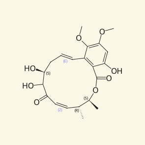 COc1cc(O)c2c(c1OC)/C=C/C[C@H](O)C(O)C(=O)/C=C\[C@@H](C)[C@H](C)OC2=O